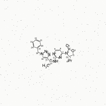 CC(C)[C@H]1COC(=O)N1c1ccnc(N[C@H](C)c2cn(Cc3ccccc3)nn2)n1